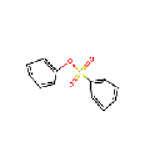 O=S(=O)(Oc1ccccc1)c1[c]cccc1